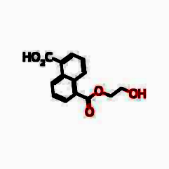 O=C(O)c1cccc2c(C(=O)OCCO)cccc12